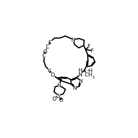 C[C@H]1Nc2ncnc3cc(c(N4CCS(=O)(=O)CC4)cc23)OCCCCOCCCCCN2CCC(CC2)C(F)(F)c2cccc1c2